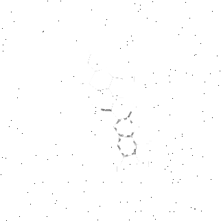 O=C(NC1C(O)OC(CO)[C@H](O)[C@H]1O)c1cc2cc(F)c(O)c(F)c2oc1=O